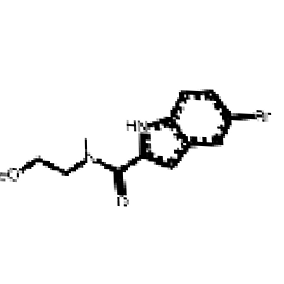 COCCNC(=O)c1cc2cc(Br)ccc2[nH]1